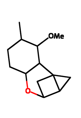 COC1C(C)CCC2OC3CC4(CC34)C21